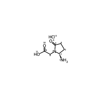 Cl.N[C@@H]1CCC(=O)N1CC(=O)O